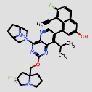 C#Cc1c(F)ccc2cc(O)cc(-c3cnc4c(N5CC6CCC(C5)N6)nc(OCC56CCCN5C[C@H](F)C6)nc4c3C(C)C)c12